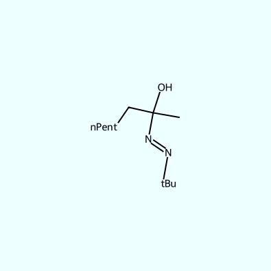 CCCCCCC(C)(O)N=NC(C)(C)C